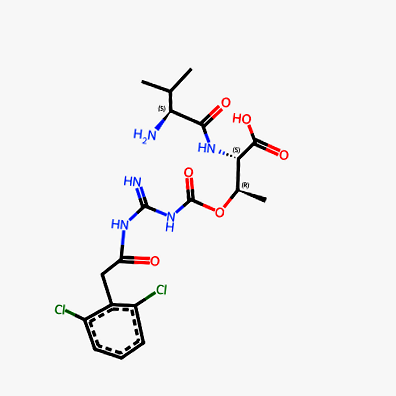 CC(C)[C@H](N)C(=O)N[C@H](C(=O)O)[C@@H](C)OC(=O)NC(=N)NC(=O)Cc1c(Cl)cccc1Cl